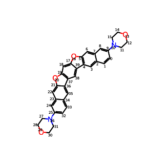 c1cc2cc3c(cc2cc1N1CCOCC1)oc1cc2oc4cc5cc(N6CCOCC6)ccc5cc4c2cc13